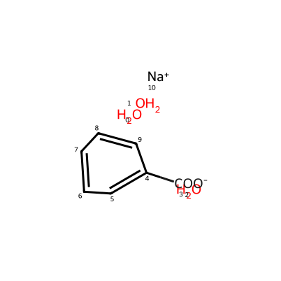 O.O.O.O=C([O-])c1ccccc1.[Na+]